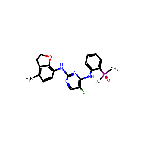 Bc1ccc(Nc2ncc(Cl)c(Nc3ccccc3P(C)(C)=O)n2)c2c1CCO2